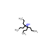 CCCC1(CCC)NC1(CCC)CCC